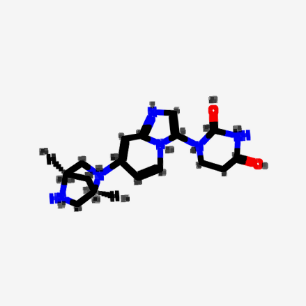 O=C1CCN(c2cnc3cc(N4C[C@H]5C[C@@H]4CN5)ccn23)C(=O)N1